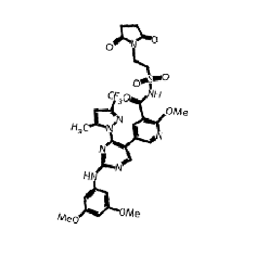 COc1cc(Nc2ncc(-c3cnc(OC)c(C(=O)NS(=O)(=O)CCN4C(=O)CCC4=O)c3)c(-n3nc(C(F)(F)F)cc3C)n2)cc(OC)c1